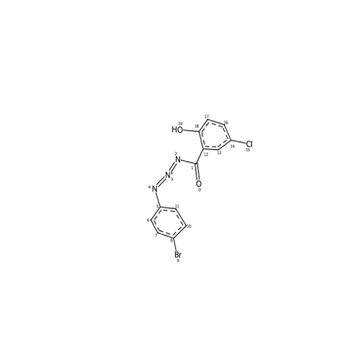 O=C(N=[N+]=Nc1ccc(Br)cc1)c1cc(Cl)ccc1O